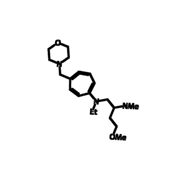 CCN(CC(CCOC)NC)C1=CC=C=C(CN2CCOCC2)C=C1